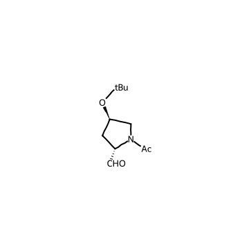 CC(=O)N1C[C@H](OC(C)(C)C)C[C@H]1C=O